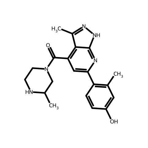 Cc1cc(O)ccc1-c1cc(C(=O)N2CCNC(C)C2)c2c(C)n[nH]c2n1